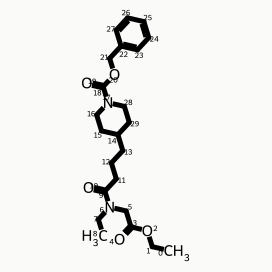 CCOC(=O)CN(CC)C(=O)CCCC1CCN(C(=O)OCc2ccccc2)CC1